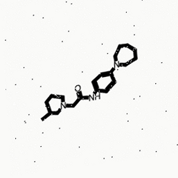 CC1CCCN(CC(=O)Nc2ccc(N3CCCCCC3)cc2)C1